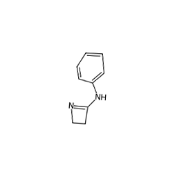 c1ccc(NC2=NCC2)cc1